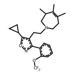 CC1=C(C)C(C)CN(CCc2c(-c3ccccc3OC(F)(F)F)noc2C2CC2)CC1